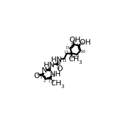 Cc1cc(=O)nc(NC(=O)NCCC2(C)C=C(O)C(O)=CC2)[nH]1